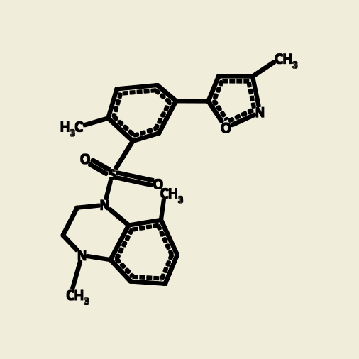 Cc1cc(-c2ccc(C)c(S(=O)(=O)N3CCN(C)c4cccc(C)c43)c2)on1